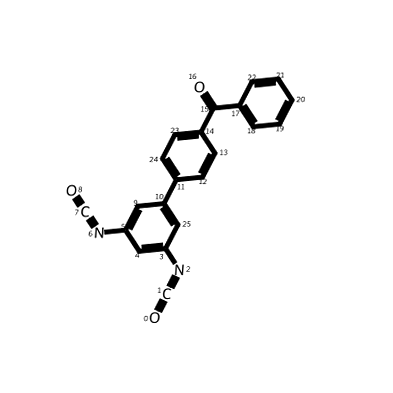 O=C=Nc1cc(N=C=O)cc(-c2ccc(C(=O)c3ccccc3)cc2)c1